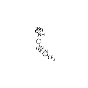 CC(C)(C)OC(=O)NCC1CCC(c2nc(-c3ncc(C(F)(F)F)cn3)no2)CC1